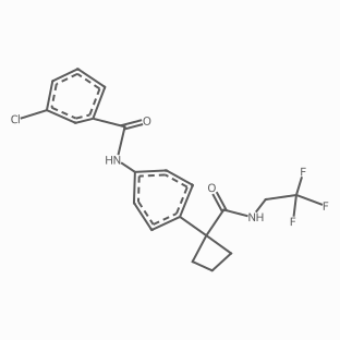 O=C(Nc1ccc(C2(C(=O)NCC(F)(F)F)CCC2)cc1)c1cccc(Cl)c1